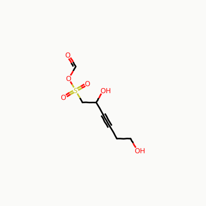 O=COS(=O)(=O)CC(O)C#CCCO